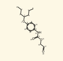 CCCC(CCC)Oc1ccc(NC(=O)OCC=O)cc1